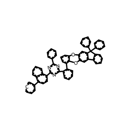 c1ccc(-c2nc(-c3ccccc3-c3cccc4c3Oc3cc5c(cc3O4)C(c3ccccc3)(c3ccccc3)c3ccccc3-5)nc(-c3ccc(-c4ccccc4)c4ccccc34)n2)cc1